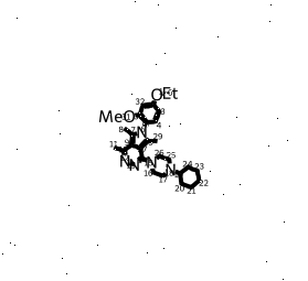 CCOc1ccc(-n2c(C)c3c(C)nnc(N4CCN(C5CCCCC5)CC4)c3c2C)c(OC)c1